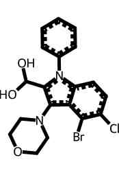 OC(O)c1c(N2CCOCC2)c2c(Br)c(Cl)ccc2n1-c1ccccc1